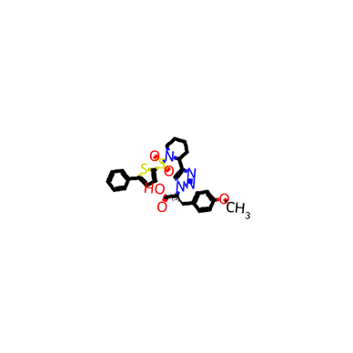 COc1ccc(C[C@@H](C(=O)O)n2cc(C3CCCCN3S(=O)(=O)c3ccc(-c4ccccc4)s3)nn2)cc1